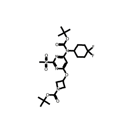 CC(C)(C)OC(=O)N1CC(Oc2cc(N(C(=O)OC(C)(C)C)C3CCC(F)(F)CC3)nc(S(C)(=O)=O)n2)C1